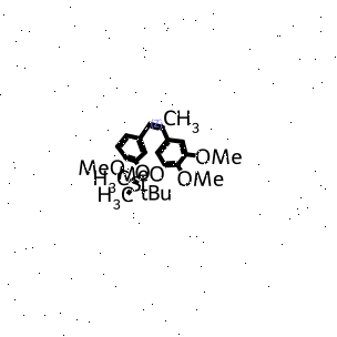 COc1ccc(/C=C(/C)c2cc(OC)c(OC)c(OC)c2)cc1O[Si](C)(C)C(C)(C)C